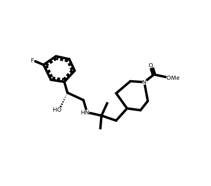 COC(=O)N1CCC(CC(C)(C)NC[C@H](O)c2cccc(F)c2)CC1